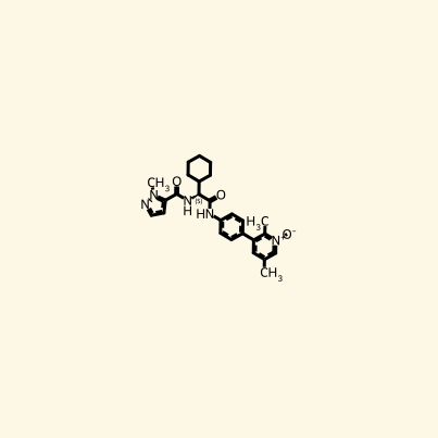 Cc1cc(-c2ccc(NC(=O)[C@@H](NC(=O)c3ccnn3C)C3CCCCC3)cc2)c(C)[n+]([O-])c1